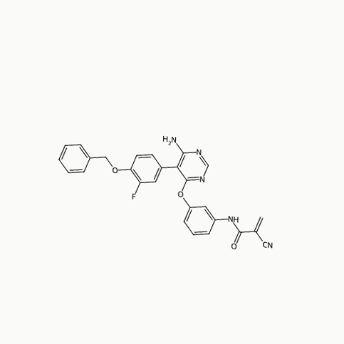 C=C(C#N)C(=O)Nc1cccc(Oc2ncnc(N)c2-c2ccc(OCc3ccccc3)c(F)c2)c1